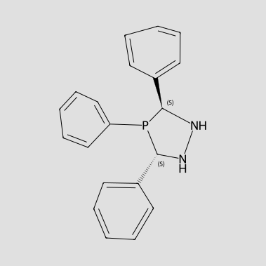 c1ccc([C@H]2NN[C@H](c3ccccc3)P2c2ccccc2)cc1